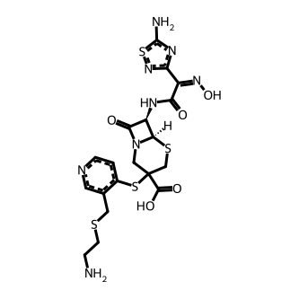 NCCSCc1cnccc1SC1(C(=O)O)CS[C@@H]2[C@H](NC(=O)/C(=N\O)c3nsc(N)n3)C(=O)N2C1